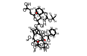 CO[C@H]1C(=O)[C@]2(C)[C@@H](OC)C[C@H]3OC[C@@]3(OC(C)=O)[C@@]2(C)[C@@](C)(OC(=O)c2ccccc2)[C@]2(O)C[C@H](OC(=O)[C@H](OC(=O)CCC(=O)O)[C@@H](NC(=O)OC(C)(C)C)c3ccccc3)C(C)=C1C2(C)C